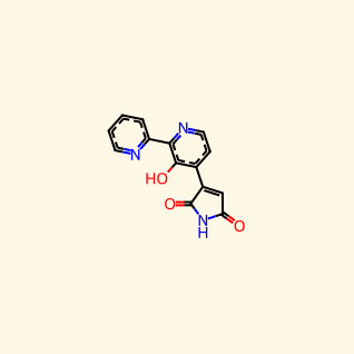 O=C1C=C(c2ccnc(-c3ccccn3)c2O)C(=O)N1